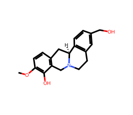 COc1ccc2c(c1O)CN1CCc3cc(CO)ccc3[C@@H]1C2